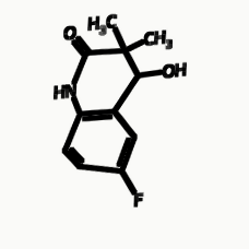 CC1(C)C(=O)Nc2ccc(F)cc2C1O